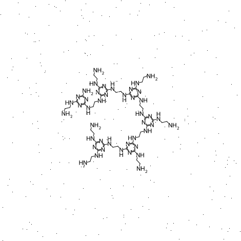 CNCCNc1nc(NCCN)nc(NCCNc2nc(NCCN)nc(NCCNc3nc(NCCN)nc(NCCNc4nc(NCCN)nc(NCCNc5nc(NCCN)nc(NCCNc6nc(N)nc(NCCN)n6)n5)n4)n3)n2)n1